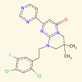 CC1(C)CN(CCc2cc(F)c(Cl)cc2Cl)c2nc(-c3ccncn3)cc(=O)n2C1